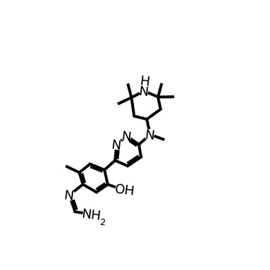 Cc1cc(-c2ccc(N(C)C3CC(C)(C)NC(C)(C)C3)nn2)c(O)cc1/N=C\N